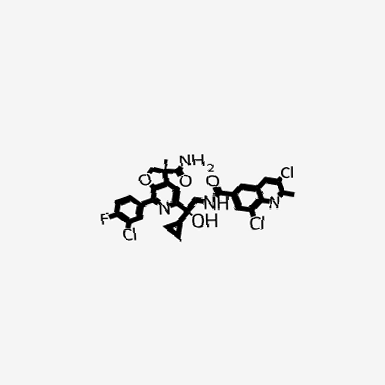 Cc1nc2c(Cl)cc(C(=O)NC[C@](O)(c3cc4c(c(-c5ccc(F)c(Cl)c5)n3)OC[C@]4(C)C(N)=O)C3CC3)cc2cc1Cl